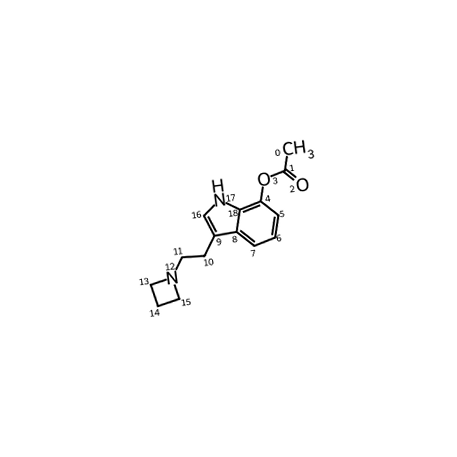 CC(=O)Oc1cccc2c(CCN3CCC3)c[nH]c12